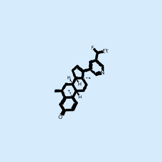 CCC(F)c1cncc(C2=CC[C@H]3[C@@H]4CC(C)C5=CC(=O)C=C[C@]5(C)[C@H]4CC[C@]23C)c1